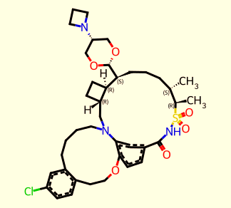 C[C@@H]1[C@@H](C)CCC[C@H]([C@H]2OC[C@@H](N3CCC3)CO2)[C@@H]2CC[C@H]2CN2CCCCc3cc(Cl)ccc3CCOc3ccc(cc32)C(=O)NS1(=O)=O